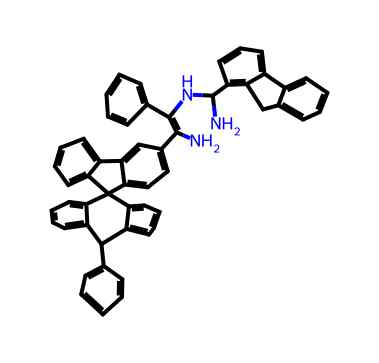 N/C(=C(\NC(N)c1cccc2c1Cc1ccccc1-2)c1ccccc1)c1ccc2c(c1)-c1ccccc1C21c2ccccc2C(c2ccccc2)c2ccccc21